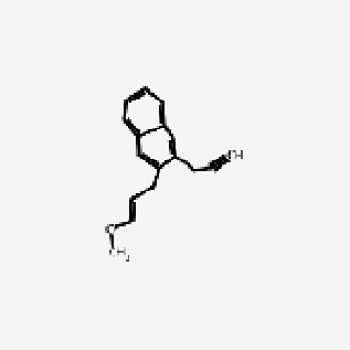 C#CCc1cc2ccccc2cc1C/C=C/OC